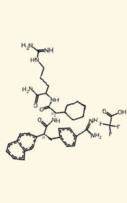 N=C(N)NCCCC(NC(=O)[C@@H](NC(=O)[C@@H](Cc1ccc(C(=N)N)cc1)c1ccc2ccccc2c1)C1CCCCC1)C(N)=O.O=C(O)C(F)(F)F